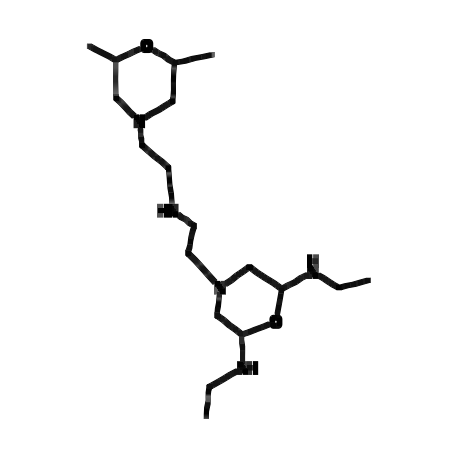 CCNC1CN(CCNCCN2CC(C)OC(C)C2)CC(NCC)O1